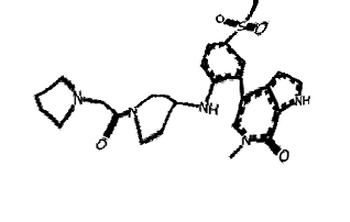 Cn1cc(-c2cc(S(C)(=O)=O)ccc2NC2CCN(C(=O)CN3CCCC3)CC2)c2cc[nH]c2c1=O